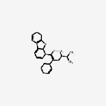 CC(C)C(C)C/C(=C(\N)C1C=CC=C2C3=C(CCC=C3)OC21)C1C=CCCC1